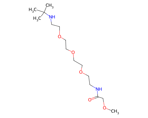 COCC(=O)NCCOCCOCCOCCNC(C)(C)C